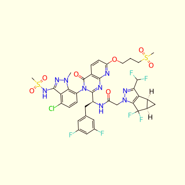 Cn1nc(NS(C)(=O)=O)c2c(Cl)ccc(-n3c([C@H](Cc4cc(F)cc(F)c4)NC(=O)Cn4nc(C(F)F)c5c4C(F)(F)[C@@H]4C[C@H]54)nc4nc(OCCCS(C)(=O)=O)ccc4c3=O)c21